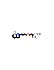 C[C@@H](CCOCCCCc1ccc2c(n1)NCCC2)C(=O)O